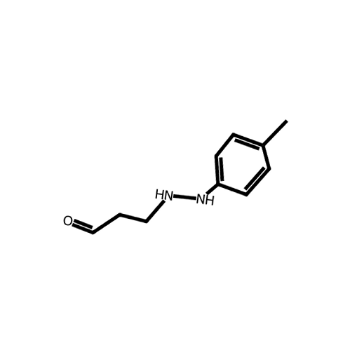 Cc1ccc(NNCCC=O)cc1